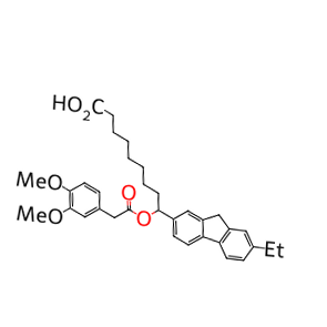 CCc1ccc2c(c1)Cc1cc(C(CCCCCCCC(=O)O)OC(=O)Cc3ccc(OC)c(OC)c3)ccc1-2